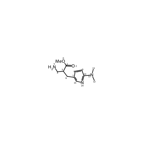 COC(=O)C(CN)Cc1ccc(N(C)C)nc1